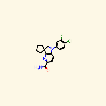 NC(=O)c1ccc2c(n1)C1(CCCC1)CN2c1ccc(Cl)c(F)c1